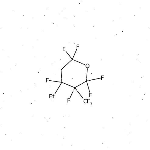 CCC1(F)CC(F)(F)OC(F)(F)C1(F)C(F)(F)F